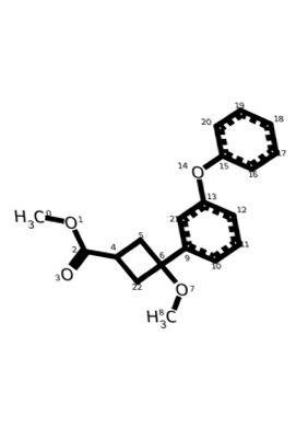 COC(=O)C1CC(OC)(c2cccc(Oc3ccccc3)c2)C1